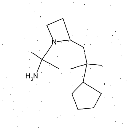 CC(C)(CC1CCN1C(C)(C)N)C1CCCC1